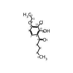 CCCCC(=O)c1ccc(OCC)c(Cl)c1O